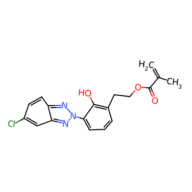 C=C(C)C(=O)OCCc1cccc(-n2nc3ccc(Cl)cc3n2)c1O